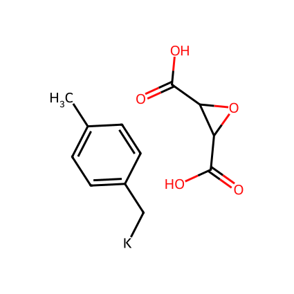 Cc1ccc([CH2][K])cc1.O=C(O)C1OC1C(=O)O